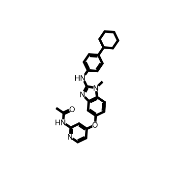 CC(=O)Nc1cc(Oc2ccc3c(c2)nc(Nc2ccc(C4CCCCC4)cc2)n3C)ccn1